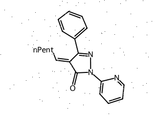 CCCCCC=C1C(=O)N(c2ccccn2)N=C1c1ccccc1